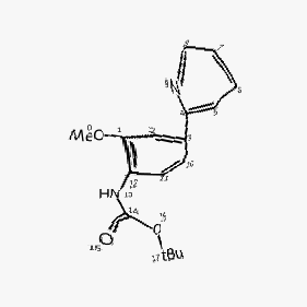 COc1cc(-c2ccccn2)ccc1NC(=O)OC(C)(C)C